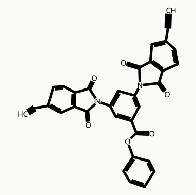 C#Cc1ccc2c(c1)C(=O)N(c1cc(C(=O)Oc3ccccc3)cc(N3C(=O)c4ccc(C#C)cc4C3=O)c1)C2=O